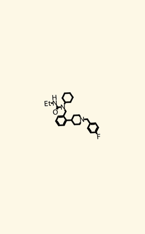 CCNC(=O)N(Cc1ccccc1C1CCN(Cc2ccc(F)cc2)CC1)C1CCCCC1